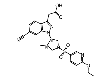 CCOc1ccc(S(=O)(=O)N2C[C@@H](C)[C@@H](n3nc(CC(=O)O)c4ccc(C#N)cc43)C2)cn1